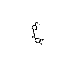 Fc1ccc(NCCc2ccc(C(F)(F)F)cc2)cc1F